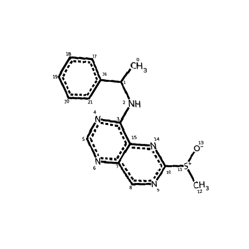 CC(Nc1ncnc2cnc([S+](C)[O-])nc12)c1ccccc1